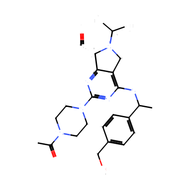 CC(=O)N1CCN(c2nc(NC(C)c3ccc(CO)cc3)c3c(n2)[C@H](C=O)N(C(C)C)C3)CC1